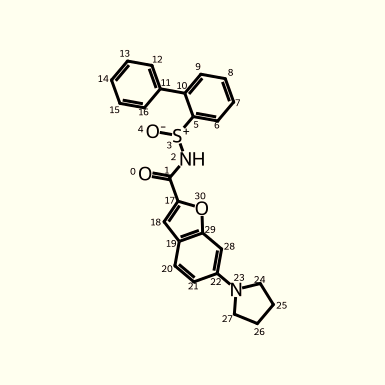 O=C(N[S+]([O-])c1ccccc1-c1ccccc1)c1cc2ccc(N3CCCC3)cc2o1